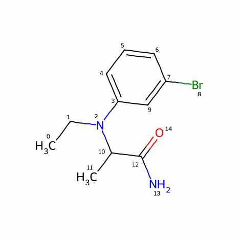 CCN(c1cccc(Br)c1)C(C)C(N)=O